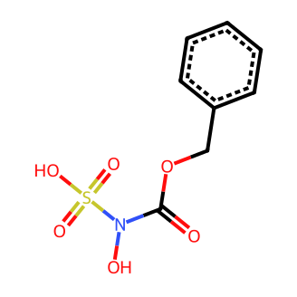 O=C(OCc1ccccc1)N(O)S(=O)(=O)O